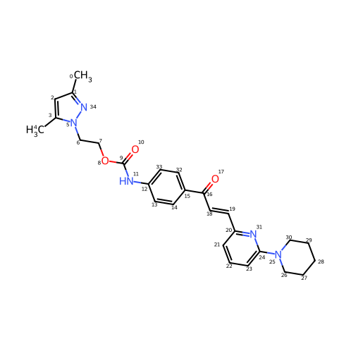 Cc1cc(C)n(CCOC(=O)Nc2ccc(C(=O)C=Cc3cccc(N4CCCCC4)n3)cc2)n1